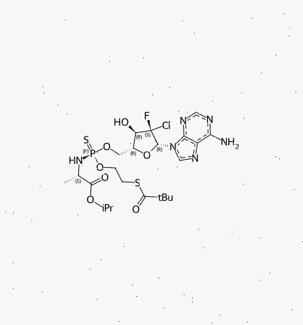 CC(C)OC(=O)[C@H](C)N[P@](=S)(OCCSC(=O)C(C)(C)C)OC[C@H]1O[C@@H](n2cnc3c(N)ncnc32)[C@@](F)(Cl)[C@@H]1O